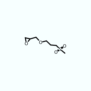 CS(=O)(=O)CCCOCC1CO1